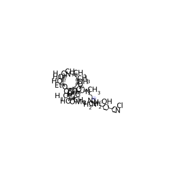 C=N/C(=C\N(N)[C@H](CO)Cc1ccc(-c2ccnc(Cl)c2)cc1)CCN(C)[C@@H]1C[C@H](O[C@@H]2C[C@H](O[C@H]3C[C@@](C)(OC)[C@@H](O)[C@H](C)O3)[C@@H](C)C(=O)O[C@H](CC)[C@@H](O)[C@H](O)[C@@H](C)N(C)C[C@H](C)C[C@@]2(C)O)O[C@H](C)C1